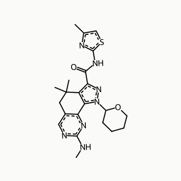 CNc1ncc2c(n1)-c1c(c(C(=O)Nc3nc(C)cs3)nn1C1CCCCO1)C(C)(C)C2